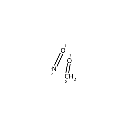 C=O.[N]=O